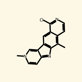 Cc1c2ccnc(Cl)c2cc2c3cn(C)ccc-3nc12